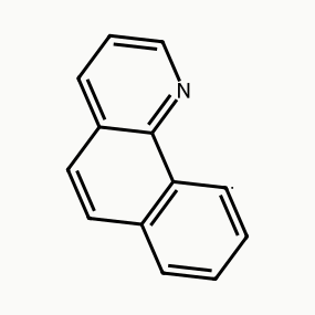 [c]1cccc2ccc3cccnc3c12